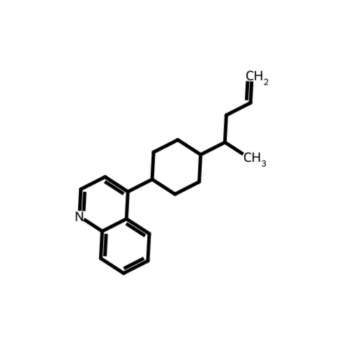 C=CCC(C)C1CCC(c2ccnc3ccccc23)CC1